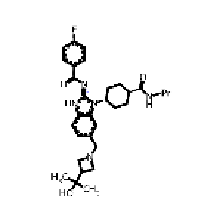 CC(C)NC(=O)[C@H]1CC[C@@H](n2/c(=N/C(=O)c3ccc(F)cc3)[nH]c3ccc(CN4CC(C(C)(C)O)C4)cc32)CC1